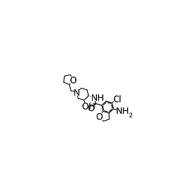 Nc1c(Cl)cc(C(=O)N[C@H]2CCN(CC3CCCO3)C[C@@H]2O)c2c1CCO2